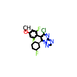 COc1cc(F)c(-c2c(Cl)nc3ncnn3c2[C@@H]2CCC[C@H](F)C2)c(F)c1